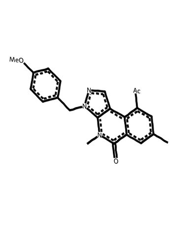 COc1ccc(Cn2ncc3c4c(C(C)=O)cc(C)cc4c(=O)n(C)c32)cc1